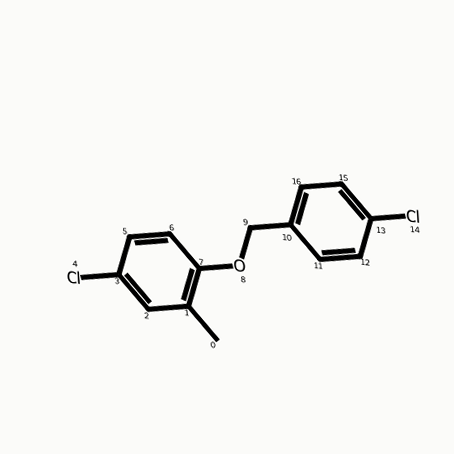 Cc1cc(Cl)ccc1OCc1ccc(Cl)cc1